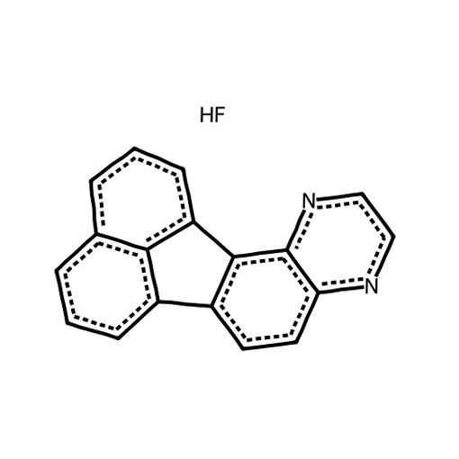 F.c1cc2c3c(cccc3c1)-c1c-2ccc2nccnc12